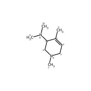 CC1=CCN(C)CC1N(C)C